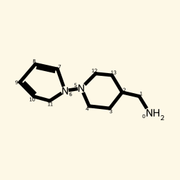 NCC1CCN(N2C=CC=CC2)CC1